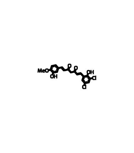 COc1ccc(C=CC(=O)CC(=O)C=Cc2cc(Cl)cc(Cl)c2O)cc1O